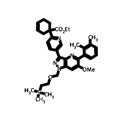 CCOC(=O)C1(c2ccc(-c3nn(COCC[Si](C)(C)C)c4cc(OC)c(-c5cccc(C)c5C)nc34)cn2)CC=CCC1